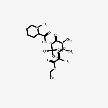 CCOC(=O)/C(C)=C/[C@H](C)N(C)C(=O)[C@@H](NC(=O)C1CCCCN1C)C(C)(C)C